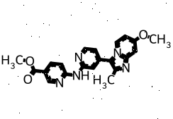 COC(=O)c1ccc(Nc2cc(-c3c(C)nc4cc(OC)ccn34)ccn2)nc1